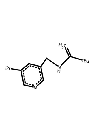 C=C(NCc1cncc(C(C)C)c1)C(C)(C)C